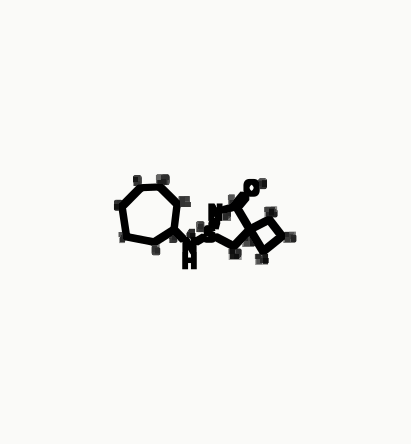 O=C1N=S(NC2CCCCCC2)CC12CCC2